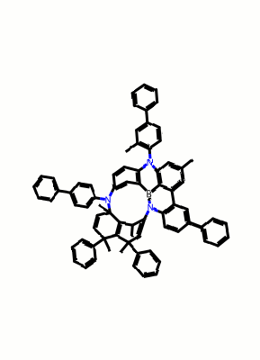 Cc1cc2c3c(c1)N(c1ccc(-c4ccccc4)cc1C)c1ccc4cc1B3N(C1=CC(C)(c3ccccc3)C3=C(C1C)C(C)(C=CC3(C)c1ccccc1)N4c1ccc(-c3ccccc3)cc1)c1ccc(-c3ccccc3)cc1-2